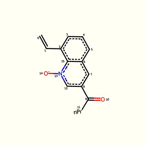 C=Cc1cccc2cc(C(=O)CCC)c[n+]([O-])c12